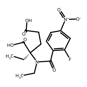 CCN(C(=O)c1ccc([N+](=O)[O-])cc1F)[C@](CC)(CCC(=O)O)C(=O)O